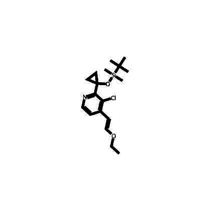 CCOC=Cc1ccnc(C2(O[Si](C)(C)C(C)(C)C)CC2)c1Cl